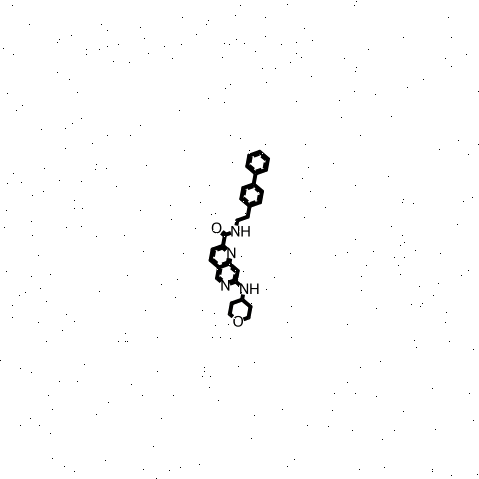 O=C(NCCc1ccc(-c2ccccc2)cc1)c1ccc2cnc(NC3CCOCC3)cc2n1